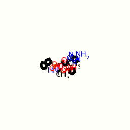 C[C@H](NP(=O)(OC[C@H]1O[C@@H](n2cnc3c(N)ncnc32)[C@@](C)(O)C1O)Oc1cccc2ccccc12)C(=O)OCc1ccccc1